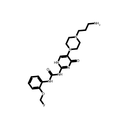 NCCCN1CCN(c2c[nH]c(NC(=O)Nc3ccccc3OCF)nc2=O)CC1